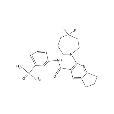 CP(C)(=O)c1cccc(NC(=O)c2cc3c(nc2N2CCCC(F)(F)CC2)CCC3)c1